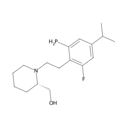 CC(C)c1cc(F)c(CCN2CCCC[C@H]2CO)c(P)c1